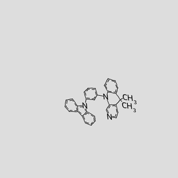 CC1(C)c2ccccc2N(c2cccc(-n3c4ccccc4c4ccccc43)c2)c2cnccc21